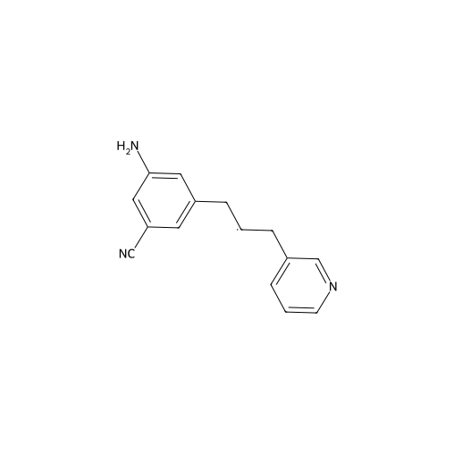 N#Cc1cc(N)cc(C[CH]Cc2cccnc2)c1